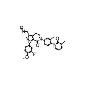 COc1ccc(-n2nc(CN=O)c3c2C(=O)N(c2ccc(-n4cccc(C)c4=O)c(C)c2)CC3)cc1F